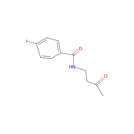 CC(=O)CCNC(=O)c1ccc(I)cc1